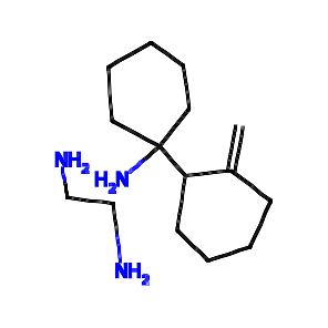 C=C1CCCCC1C1(N)CCCCC1.NCCN